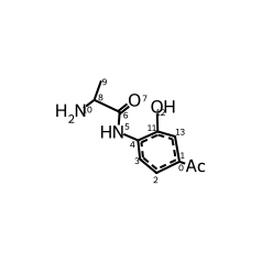 CC(=O)c1ccc(NC(=O)C(C)N)c(O)c1